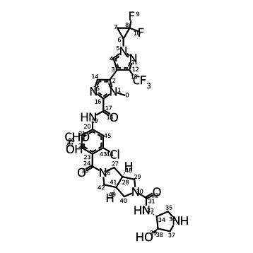 Cn1c(-c2cn(C3CC3(F)F)nc2C(F)(F)F)cnc1C(=O)Nc1ccc(C(=O)N2C[C@H]3CN(C(=O)N[C@@H]4CNC[C@H]4O)C[C@H]3C2)c(Cl)c1.O=CO